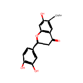 COc1cc2c(cc1O)OC(c1ccc(O)c(O)c1)CC2=O